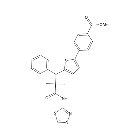 COC(=O)c1ccc(-c2ccc(C(c3ccccc3)C(C)(C)C(=O)Nc3nncs3)s2)cc1